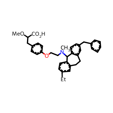 CCc1ccc2c(c1)CCc1cc(Cc3ccccc3)ccc1C2N(C)CCOc1ccc(CC(OC)C(=O)O)cc1